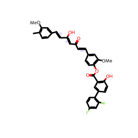 COc1cc(/C=C/C(O)=C/C(=O)/C=C/c2ccc(OC(=O)c3cc(-c4ccc(F)cc4F)ccc3O)c(OC)c2)ccc1C